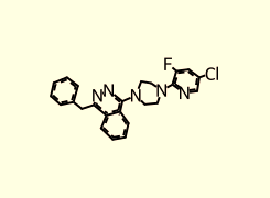 Fc1cc(Cl)cnc1N1CCN(c2nnc(Cc3ccccc3)c3ccccc23)CC1